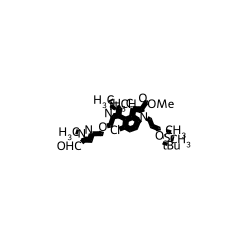 COC(=O)c1c(C)c2c(-c3c(COCc4cc(C=O)n(C)n4)nn(C)c3C)c(Cl)ccc2n1CCCO[Si](C)(C)C(C)(C)C